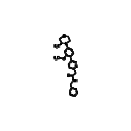 COc1cc(N2CCOC[C@@H]2C)ccc1-c1ccc(CC(=O)NCc2ccccc2)nc1